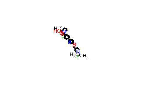 CC(C)(F)CN1CCC(COc2ccc(-c3ccc(C(=O)N4CCCC4(C)C(=O)O)c(F)c3)nc2)CC1